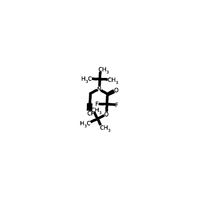 C#CCN(C(=O)C(F)(F)OC(C)(C)C)C(C)(C)C